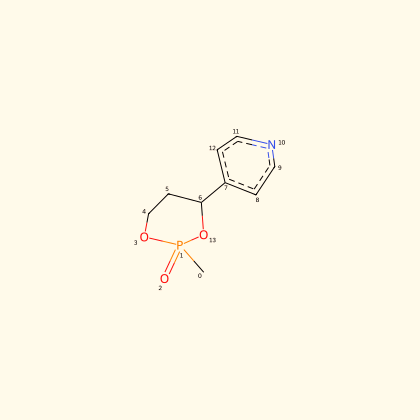 CP1(=O)OCCC(c2ccncc2)O1